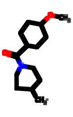 [CH2]C1CCN(C(=O)C2CCC(OC)CC2)CC1